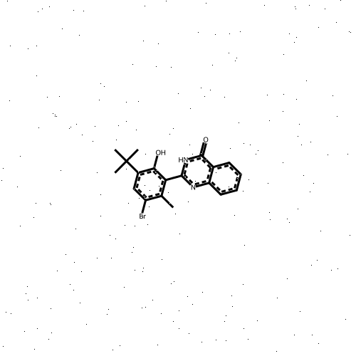 Cc1c(Br)cc(C(C)(C)C)c(O)c1-c1nc2ccccc2c(=O)[nH]1